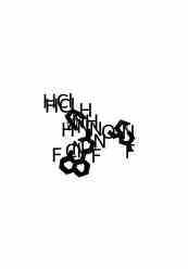 Cl.Cl.Fc1ccc2cccc(-c3ncc4c(N5C[C@H]6CC[C@@H](C5)N6)nc(OCC56CCCN5CC(F)C6)nc4c3F)c2c1Cl